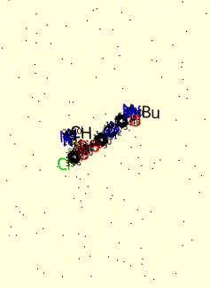 CCC(C)n1cnn(-c2ccc(N3CCN(c4ccc(OC[C@@H]5CO[C@@](CSc6nncn6C)(c6ccc(Cl)cc6)O5)cc4)CC3)cc2)c1=O